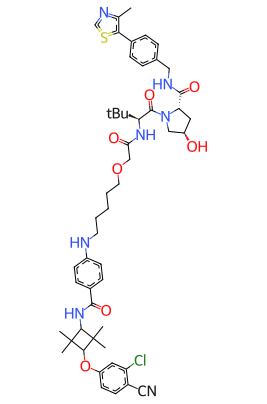 Cc1ncsc1-c1ccc(CNC(=O)[C@@H]2C[C@@H](O)CN2C(=O)[C@@H](NC(=O)COCCCCCNc2ccc(C(=O)NC3C(C)(C)C(Oc4ccc(C#N)c(Cl)c4)C3(C)C)cc2)C(C)(C)C)cc1